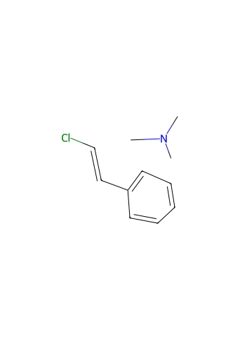 CN(C)C.ClC=Cc1ccccc1